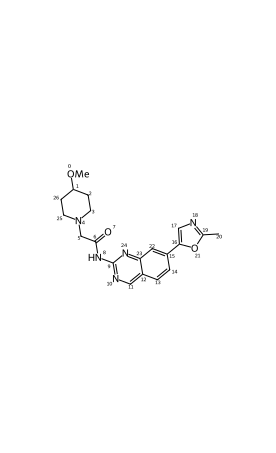 COC1CCN(CC(=O)Nc2ncc3ccc(-c4cnc(C)o4)cc3n2)CC1